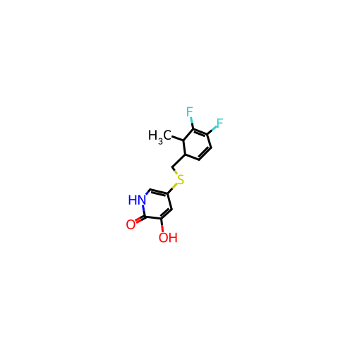 CC1C(F)=C(F)C=CC1CSc1c[nH]c(=O)c(O)c1